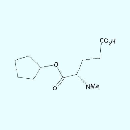 CN[C@@H](CCC(=O)O)C(=O)OC1CCCC1